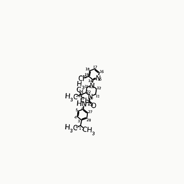 CC(C)c1ccc(NC(=O)N2CCN(c3ncccc3Cl)CC2C(C)(C)C)cc1